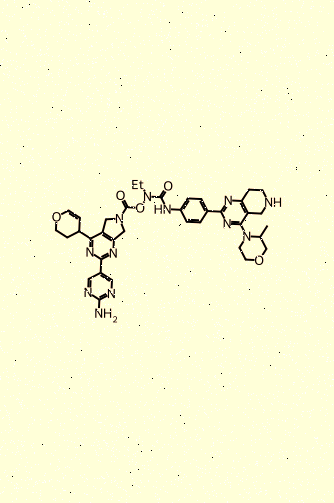 CCN(OC(=O)N1Cc2nc(-c3cnc(N)nc3)nc(C3C=COCC3)c2C1)C(=O)Nc1ccc(-c2nc3c(c(N4CCOCC4C)n2)CNCC3)cc1